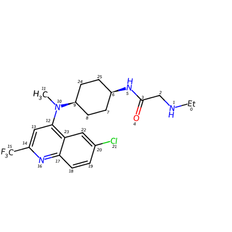 CCNCC(=O)N[C@H]1CC[C@@H](N(C)c2cc(C(F)(F)F)nc3ccc(Cl)cc23)CC1